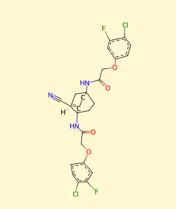 N#C[C@H]1CC2(NC(=O)COc3ccc(Cl)c(F)c3)CCC1(NC(=O)COc1ccc(Cl)c(F)c1)CC2